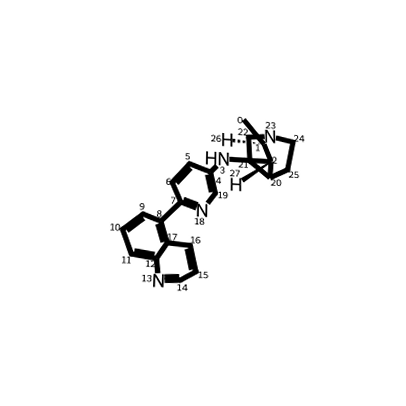 C[C@@H]1[C@@H](Nc2ccc(-c3cccc4ncccc34)nc2)C2CCN1CC2